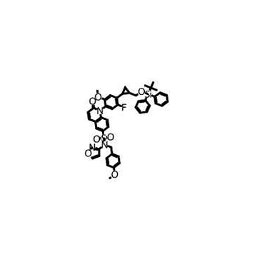 COc1ccc(CN(c2ccon2)S(=O)(=O)c2ccc3c(ccc(=O)n3-c3cc(F)c(C4CC4CO[Si](c4ccccc4)(c4ccccc4)C(C)(C)C)cc3OC)c2)cc1